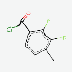 Cc1ccc(C(=O)Cl)c(F)c1F